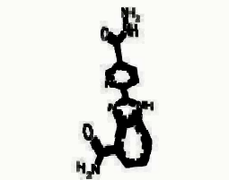 NNC(=O)c1ccc(-c2nc3c(C(N)=O)cccc3[nH]2)nc1